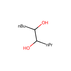 CCCC[C](O)C(O)CCC